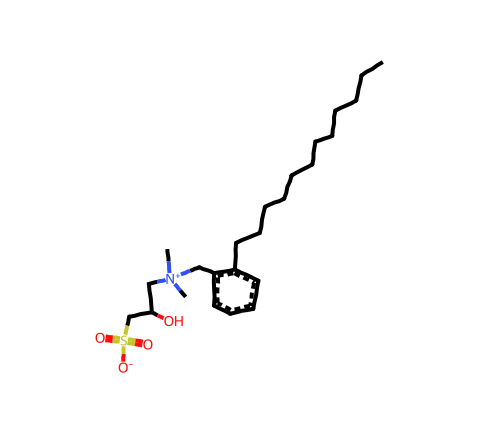 CCCCCCCCCCCCc1ccccc1C[N+](C)(C)CC(O)CS(=O)(=O)[O-]